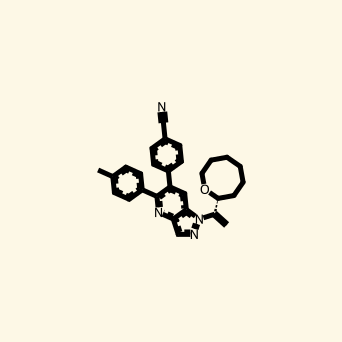 C=C([C@H]1CCCCCCO1)n1ncc2nc(-c3ccc(C)cc3)c(-c3ccc(C#N)cc3)cc21